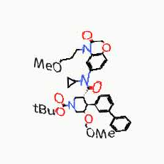 COCCCN1C(=O)COc2ccc(N(C(=O)[C@H]3CN(C(=O)OC(C)(C)C)C[C@@H](OCOC)[C@@H]3c3cccc(-c4ccccc4)c3)C3CC3)cc21